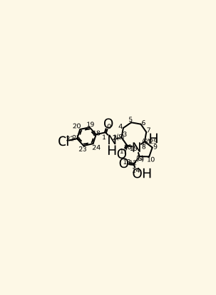 O=C(N[C@H]1CCCC[C@H]2CC[C@@H](C(=O)O)N2C1=O)c1ccc(Cl)cc1